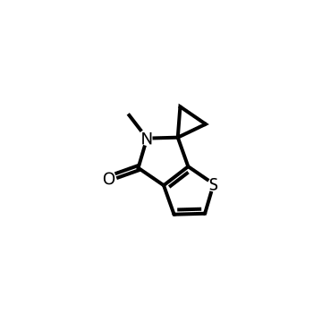 CN1C(=O)c2ccsc2C12CC2